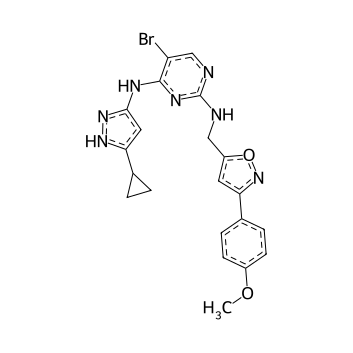 COc1ccc(-c2cc(CNc3ncc(Br)c(Nc4cc(C5CC5)[nH]n4)n3)on2)cc1